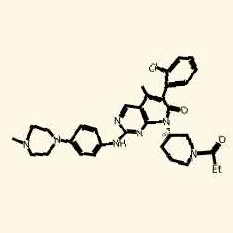 CCC(=O)N1CCC[C@H](n2c(=O)c(-c3ccccc3Cl)c(C)c3cnc(Nc4ccc(N5CCN(C)CC5)cc4)nc32)C1